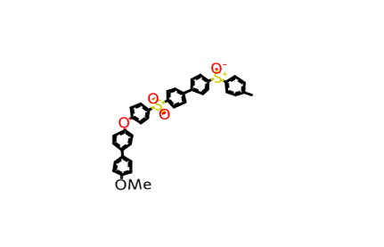 COc1ccc(-c2ccc(Oc3ccc(S(=O)(=O)c4ccc(-c5ccc([S+]([O-])c6ccc(C)cc6)cc5)cc4)cc3)cc2)cc1